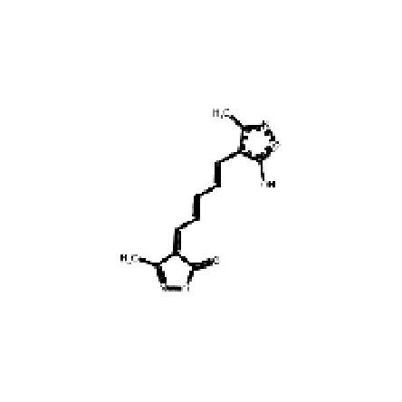 CC1=NOC(=O)/C1=C\C=CC=Cc1c(C)noc1O